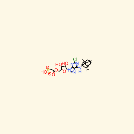 C[C@]12C[C@@H]3C[C@](C)(C1)C[C@@](Nc1nc(Cl)nc4c1ncn4C1OC(COC(=O)CS(=O)(=O)O)C(O)C1O)(C3)C2